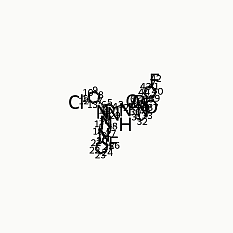 O=C(NCc1cc(-c2cccc(Cl)c2)nc(N2CCN(c3ccccc3F)CC2)n1)[C@@H]1CCCN1S(=O)(=O)c1ccc(F)cc1